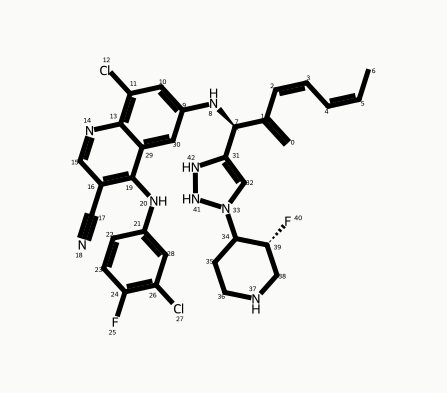 C=C(/C=C\C=C/C)[C@H](Nc1cc(Cl)c2ncc(C#N)c(Nc3ccc(F)c(Cl)c3)c2c1)C1=CN(C2CCNC[C@H]2F)NN1